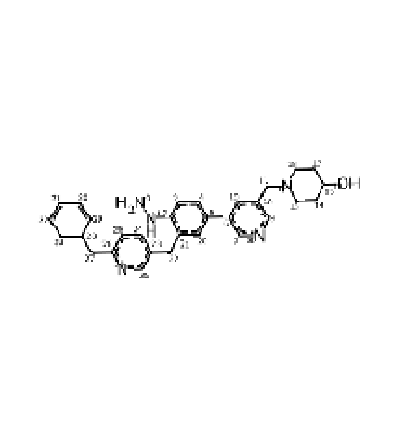 NNc1ccc(-c2cncc(CN3CCC(O)CC3)c2)cc1Cc1ccc(CC2C=CC=CC2)nc1